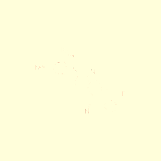 N#Cc1ccc(NC(=O)c2noc3cc(-c4ccccc4C(F)(F)F)c(C#N)cc23)c(C(=O)O)c1